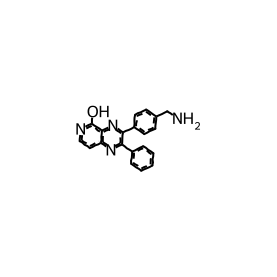 NCc1ccc(-c2nc3c(O)nccc3nc2-c2ccccc2)cc1